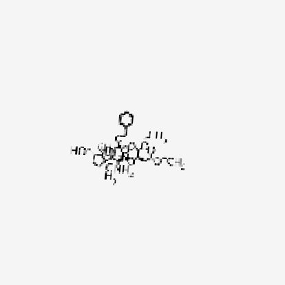 CCOC(=O)C=C(ON=C(N)C(NC(=O)OCc1ccccc1)[C@]1(C)CC[C@H](CO)C1(C)C)C(=O)OCC